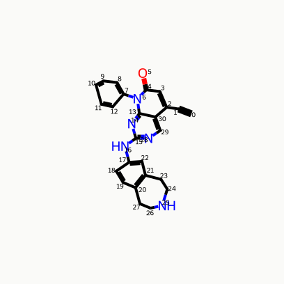 C#Cc1cc(=O)n(-c2ccccc2)c2nc(Nc3ccc4c(c3)CCNCC4)ncc12